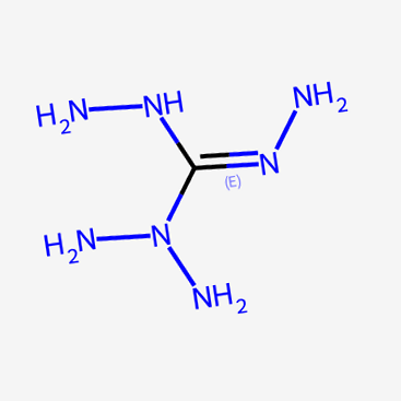 N/N=C(\NN)N(N)N